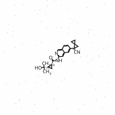 CC(C)(O)[C@H]1C[C@@H]1C(=O)Nc1cc2cc([C@@]3(C#N)CC34CC4)ccc2cn1